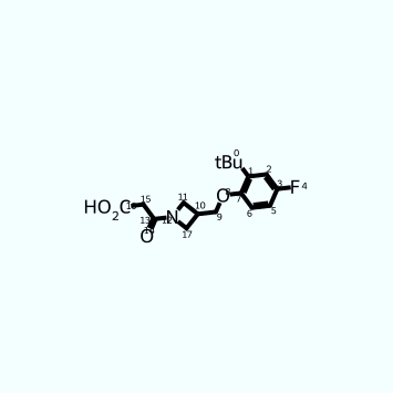 CC(C)(C)c1cc(F)ccc1OCC1CN(C(=O)CC(=O)O)C1